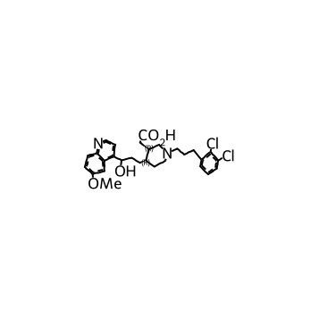 COc1ccc2nccc(C(O)CC[C@@H]3CCN(CCCc4cccc(Cl)c4Cl)C[C@@H]3CC(=O)O)c2c1